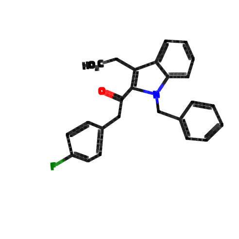 O=C(O)Cc1c(C(=O)Cc2ccc(F)cc2)n(Cc2ccccc2)c2ccccc12